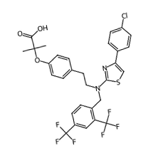 CC(C)(Oc1ccc(CCN(Cc2ccc(C(F)(F)F)cc2C(F)(F)F)c2nc(-c3ccc(Cl)cc3)cs2)cc1)C(=O)O